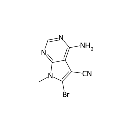 Cn1c(Br)c(C#N)c2c(N)ncnc21